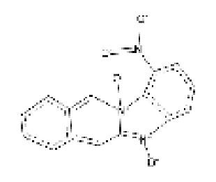 O=[N+]([O-])c1cccc2c1[N+]1([O-])C=c3ccccc3=CC1=[N+]2[O-]